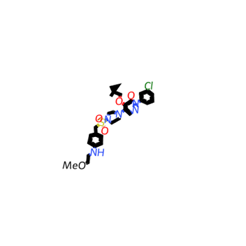 COCCNc1ccc(CS(=O)(=O)N2CCN(c3cnn(-c4cccc(Cl)c4)c(=O)c3OCC3(C)CC3)CC2)cc1